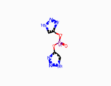 O=[PH](Oc1c[nH]nn1)Oc1c[nH]nn1